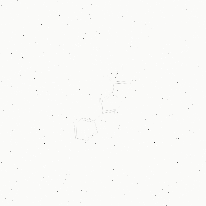 CS(=O)(=O)c1nc(-c2ccccc2)ns1